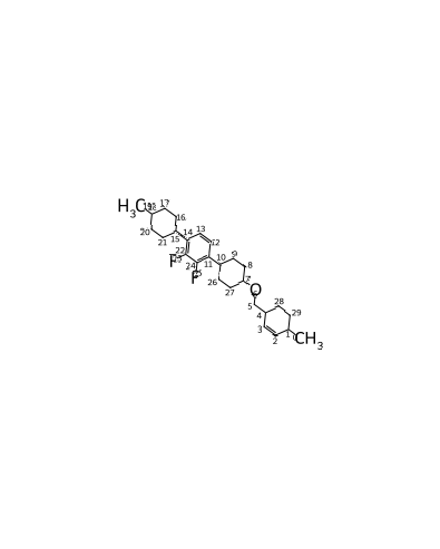 CC1C=CC(COC2CCC(c3ccc(C4CCC(C)CC4)c(F)c3F)CC2)CC1